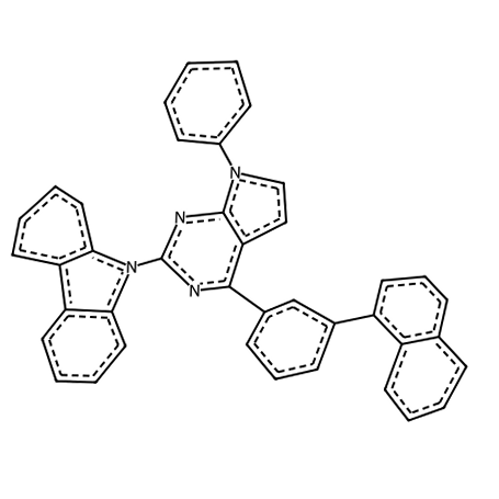 c1ccc(-n2ccc3c(-c4cccc(-c5cccc6ccccc56)c4)nc(-n4c5ccccc5c5ccccc54)nc32)cc1